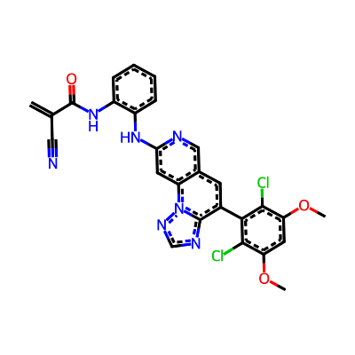 C=C(C#N)C(=O)Nc1ccccc1Nc1cc2c(cn1)cc(-c1c(Cl)c(OC)cc(OC)c1Cl)c1ncnn12